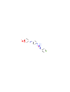 O=C(/C=C/c1ccc(F)cc1)Nc1ccc(/C=C/c2ccc3c(c2)OCO3)cc1